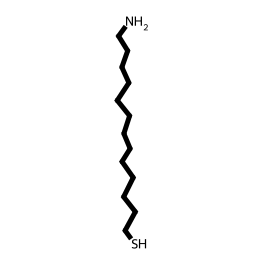 NCCCCCCCCCCCCCS